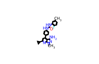 Cc1ccc(F)c(NC(=O)Nc2ccc(-c3cc(C4CC4)nc4c3c(N)nn4C)cc2)c1